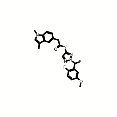 COc1ccc(F)c(C(F)n2ncc(NC(=O)Cc3ccc4c(c3)c(C)cn4C)n2)c1